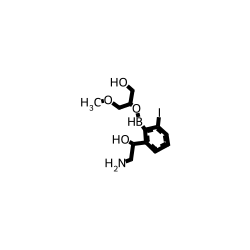 COCC(CO)OBc1c(I)cccc1C(O)CN